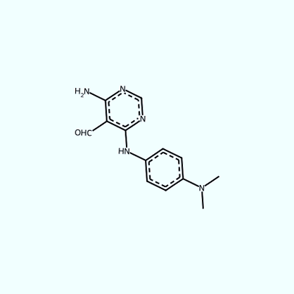 CN(C)c1ccc(Nc2ncnc(N)c2C=O)cc1